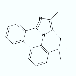 Cc1nc2c3ccccc3c3cccc4c3n2c1CC4(C)C